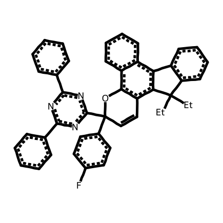 CCC1(CC)c2ccccc2-c2c1c1c(c3ccccc23)OC(c2ccc(F)cc2)(c2nc(-c3ccccc3)nc(-c3ccccc3)n2)C=C1